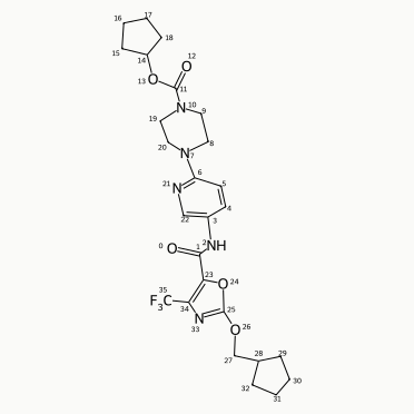 O=C(Nc1ccc(N2CCN(C(=O)OC3CCCC3)CC2)nc1)c1oc(OCC2CCCC2)nc1C(F)(F)F